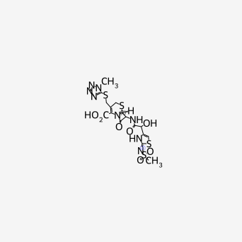 Cn1nnnc1SCC1=C(C(=O)O)N2C(=O)C(NC(=O)C(O)c3cs/c(=N\S(C)(=O)=O)[nH]3)[C@H]2SC1